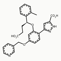 Cc1ccccc1[C@H](CCC(=O)O)Oc1cc(OCc2cccnc2)ccc1-c1cc(C(=O)O)[nH]n1